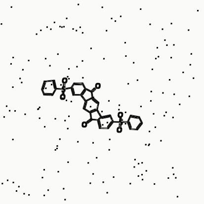 O=c1c2ccc(S(=O)(=O)c3ccccc3)cc2c2cc3c(=O)c4ccc(S(=O)(=O)c5ccccc5)cc4c3cc12